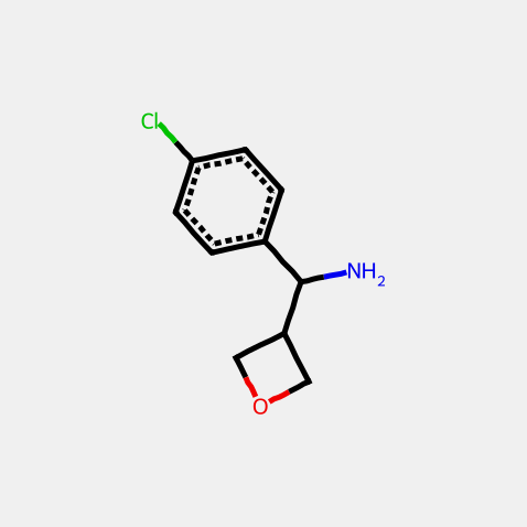 NC(c1ccc(Cl)cc1)C1COC1